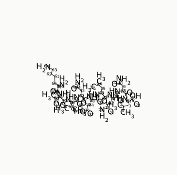 CC(C)C[C@H](NC(=O)[C@H](CC(N)=O)NC(=O)[C@H](CCC(N)=O)NC(=O)[C@H](CC(C)C)NC(=O)[C@H](CCC(=O)O)NC(=O)[C@H](CC(N)=O)NC(=O)[C@@H](NC(=O)[C@@H](NC(=O)[C@@H](N)CCCCN)[C@@H](C)O)C(C)C)C(=O)O